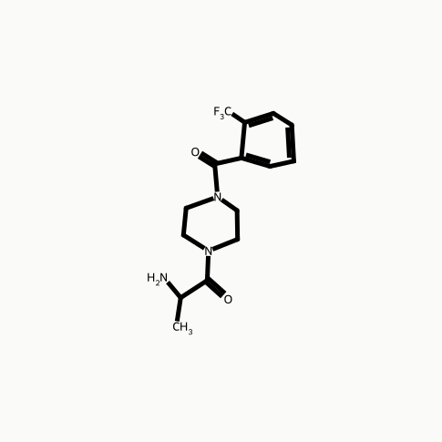 CC(N)C(=O)N1CCN(C(=O)c2ccccc2C(F)(F)F)CC1